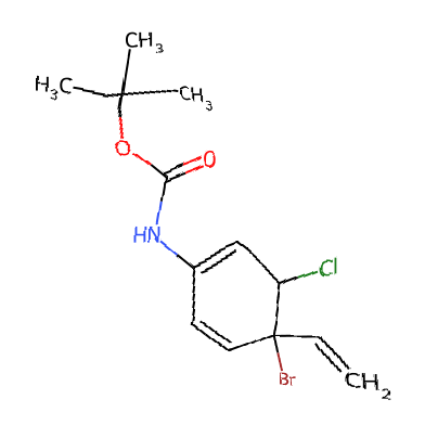 C=CC1(Br)C=CC(NC(=O)OC(C)(C)C)=CC1Cl